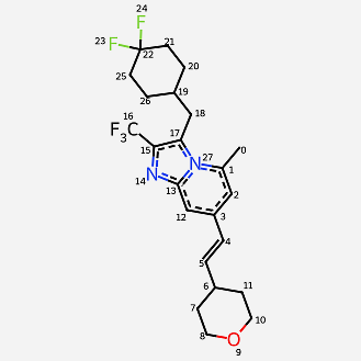 Cc1cc(C=CC2CCOCC2)cc2nc(C(F)(F)F)c(CC3CCC(F)(F)CC3)n12